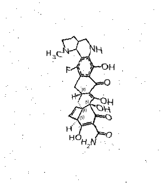 CN1CCC2CNc3c(O)c4c(c(F)c3C21)C[C@H]1C[C@@]23C=C[C@@H]2C(O)=C(C(N)=O)C(=O)[C@@]3(O)C(O)=C1C4=O